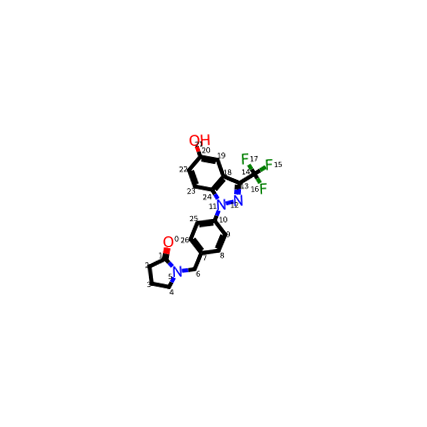 O=C1CCCN1Cc1ccc(-n2nc(C(F)(F)F)c3cc(O)ccc32)cc1